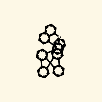 c1ccc2c(c1)-c1cc3ccccc3cc1C21c2ccccc2-c2cccc(-c3cccc4c3-c3cccc5cccc(c35)O4)c21